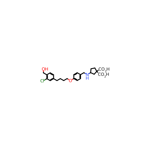 O=C(O)C1(C(=O)O)CCC(NCc2ccc(OCCCCc3ccc(CO)c(Cl)c3)cc2)C1